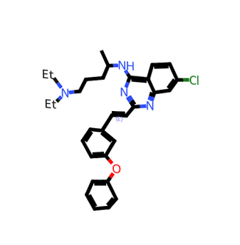 CCN(CC)CCCC(C)Nc1nc(/C=C/c2cccc(Oc3ccccc3)c2)nc2cc(Cl)ccc12